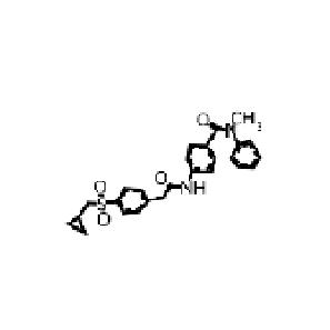 CN(C(=O)c1ccc(NC(=O)Cc2ccc(S(=O)(=O)CC3CC3)cc2)cc1)c1ccccc1